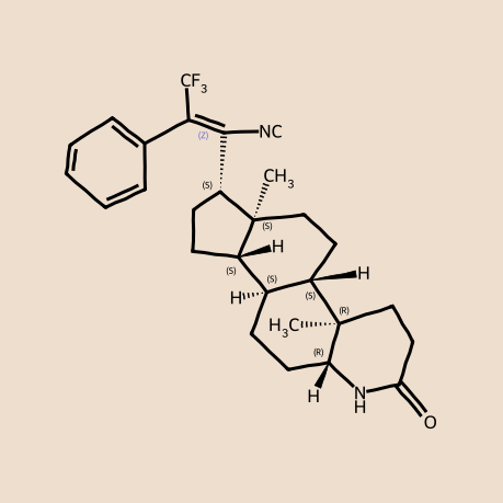 [C-]#[N+]/C(=C(/c1ccccc1)C(F)(F)F)[C@H]1CC[C@H]2[C@@H]3CC[C@H]4NC(=O)CC[C@]4(C)[C@H]3CC[C@]12C